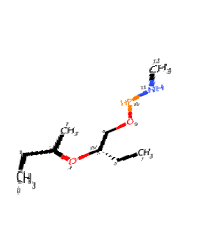 CCC(C)O[C@@H](CC)COPNC